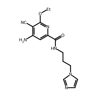 CCOc1nc(C(=O)NCCCn2ccnc2)cc(N)c1C#N